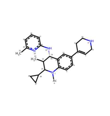 CC(=O)N1c2ccc(C3=CCNCC3)cc2[C@@H](Nc2cccc(C)n2)C(C)C1C1CC1